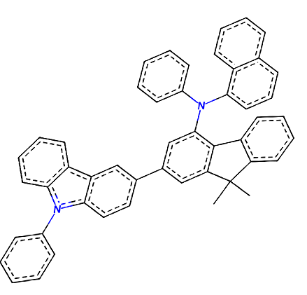 CC1(C)c2ccccc2-c2c(N(c3ccccc3)c3cccc4ccccc34)cc(-c3ccc4c(c3)c3ccccc3n4-c3ccccc3)cc21